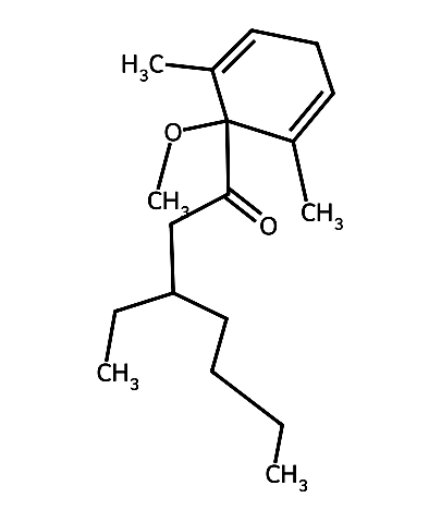 CCCCC(CC)CC(=O)C1(OC)C(C)=CCC=C1C